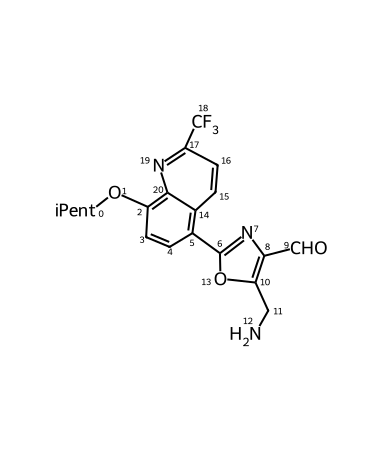 CCCC(C)Oc1ccc(-c2nc(C=O)c(CN)o2)c2ccc(C(F)(F)F)nc12